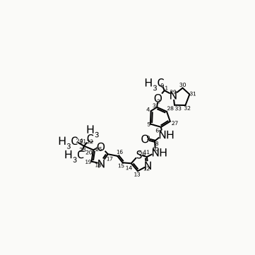 CC(Oc1ccc(NC(=O)Nc2ncc(C=Cc3ncc(C(C)(C)C)o3)s2)cc1)N1CCCC1